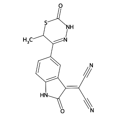 CC1SC(=O)NN=C1c1ccc2c(c1)C(=C(C#N)C#N)C(=O)N2